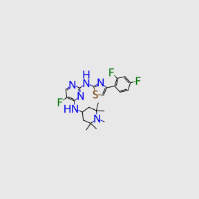 CN1C(C)(C)CC(Nc2nc(Nc3nc(-c4ccc(F)cc4F)cs3)ncc2F)CC1(C)C